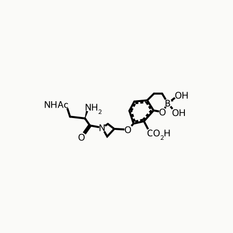 CC(=O)NC[C@@H](N)C(=O)N1CC(Oc2ccc3c(c2C(=O)O)O[B-](O)(O)CC3)C1